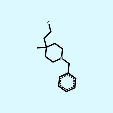 CC1(CCCl)CCN(Cc2ccccc2)CC1